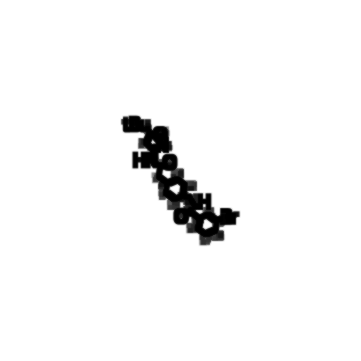 CC(C)(C)c1cc(NC(=O)Cc2ccc(NC(=O)c3cccc(Br)c3)cc2)no1